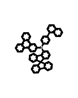 c1ccc2c(c1)-c1ccccc1C21c2ccccc2-c2c(N(c3ccc(-c4cccc5ccccc45)cc3)c3ccc4c5ccccc5c5ccccc5c4c3)cccc21